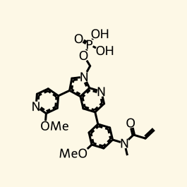 C=CC(=O)N(C)c1cc(OC)cc(-c2cnc3c(c2)c(-c2ccnc(OC)c2)cn3COP(=O)(O)O)c1